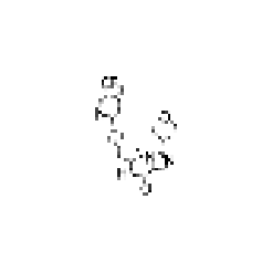 O=c1[nH]c(CN2CC(c3ccc(C(F)(F)F)cn3)C2)nn2c(C3CCOCC3)ncc12